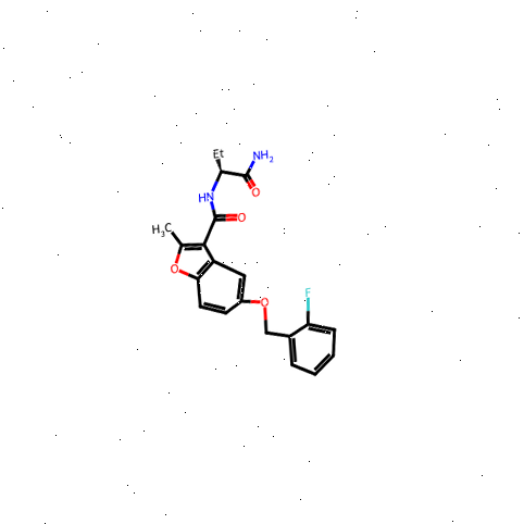 CC[C@H](NC(=O)c1c(C)oc2ccc(OCc3ccccc3F)cc12)C(N)=O